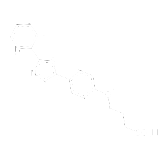 O=S(=O)(O)CCCOc1ccc(-c2cnc(-c3ccccn3)s2)cc1